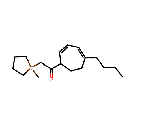 CCCCC1=CC=CC(C(=O)CS2(C)CCCC2)CC1